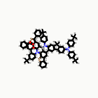 CC(C)(C)c1ccc(N2B3c4cc5c(-c6ccccc6)sc(-c6ccccc6)c5cc4N(c4ccc(C(C)(C)C)cc4-c4ccccc4)c4c3c(cc3c4sc4ccccc43)-c3cc4c(cc32)C(C)(C)c2cc(N(c3ccc(C(C)(C)C)cc3)c3ccc(C(C)(C)C)cc3)ccc2-4)cc1